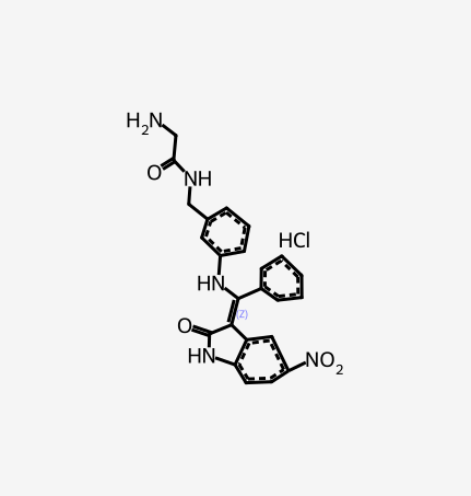 Cl.NCC(=O)NCc1cccc(N/C(=C2\C(=O)Nc3ccc([N+](=O)[O-])cc32)c2ccccc2)c1